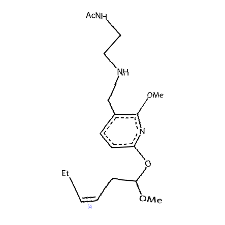 CC/C=C\CC(OC)Oc1ccc(CNCCNC(C)=O)c(OC)n1